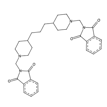 O=C1c2ccccc2C(=O)N1CN1CCC(CCCC2CCN(CN3C(=O)c4ccccc4C3=O)CC2)CC1